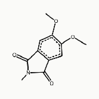 COc1cc2c(cc1OC)C(=O)N(C)C2=O